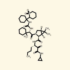 CCCC[C@H](NC(=O)[C@@H]1[C@@H]2[C@H](CN1C(=O)[C@@H](NC(=O)NC1(C3CCCCS3(=O)=O)CCCCC1)C1(C)CCCCC1)C2(C)C)C(=O)C(=O)NC1CC1